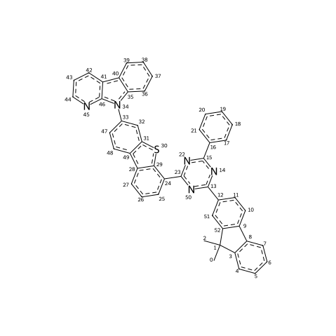 CC1(C)c2ccccc2-c2ccc(-c3nc(-c4ccccc4)nc(-c4cccc5c4sc4cc(-n6c7ccccc7c7cccnc76)ccc45)n3)cc21